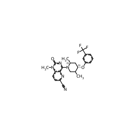 CC1CN(c2nc(=O)n(C)c3ccc(C#N)nc23)[C@@H](C)C[C@@H]1Oc1cccc(C(F)(F)F)c1